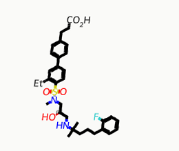 CCc1cc(-c2ccc(CCC(=O)O)cc2)ccc1S(=O)(=O)N(C)C[C@H](O)CNC(C)(C)CCCc1ccccc1F